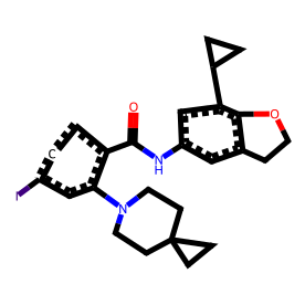 O=C(Nc1cc2c(c(C3CC3)c1)OCC2)c1ccc(I)cc1N1CCC2(CC1)CC2